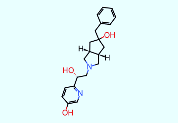 Oc1ccc([C@H](O)CN2C[C@@H]3CC(O)(Cc4ccccc4)C[C@@H]3C2)nc1